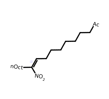 CCCCCCCC/C(=C/CCCCCCCC(C)=O)[N+](=O)[O-]